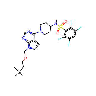 C[Si](C)(C)CCOCn1ccc2c(N3CCC(NS(=O)(=O)c4c(F)c(F)cc(F)c4F)CC3)ncnc21